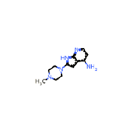 CN1CCN(c2cc3c(N)ccnc3[nH]2)CC1